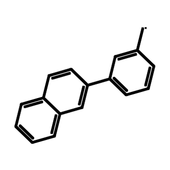 [CH2]c1cccc(-c2ccc3ccccc3c2)c1